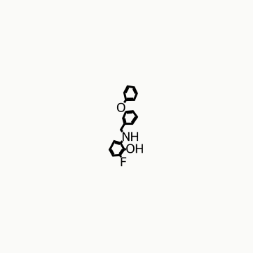 Oc1c(F)cccc1NCc1cccc(Oc2ccccc2)c1